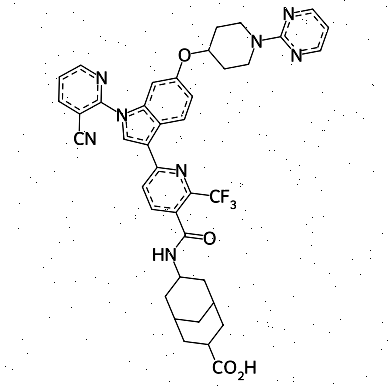 N#Cc1cccnc1-n1cc(-c2ccc(C(=O)NC3CC4CC(C3)CC(C(=O)O)C4)c(C(F)(F)F)n2)c2ccc(OC3CCN(c4ncccn4)CC3)cc21